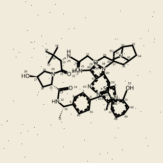 Cc1ncsc1-c1ccc([C@H](C)NC(=O)[C@@H]2C[C@@H](O)CN2C(=O)[C@@H](NC(=O)COCCN2C3CCC2CC(n2nc(N)c4nnc(-c5ccccc5O)cc42)C3)C(C)(C)C)cc1